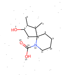 CCC(C)C1(CCO)CCCCN1C(=O)O